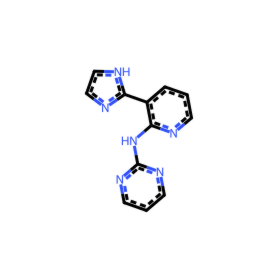 c1cnc(Nc2ncccc2-c2ncc[nH]2)nc1